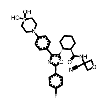 N#CC1(NC(=O)[C@@H]2CCCC[C@H]2c2oc(-c3ccc(F)cc3)nc2-c2ccc(N3CCS(O)(O)CC3)cc2)COC1